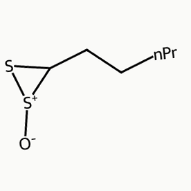 CCCCCC1S[S+]1[O-]